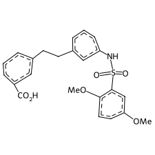 COc1ccc(OC)c(S(=O)(=O)Nc2cccc(CCc3cccc(C(=O)O)c3)c2)c1